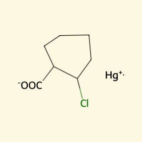 O=C([O-])C1CCCCC1Cl.[Hg+]